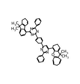 CC1(C)C2=CCCC(c3cc(C4C=CC(c5nc(-c6ccccc6)nc(-c6cccc7c6C6=C(CCC=C6)C7(C)C)n5)=CC4)nc(-c4ccccc4)n3)=C2OC2=C1C=CCC=C2